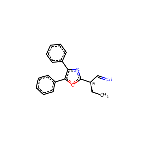 CC[C@H](C=N)c1nc(-c2ccccc2)c(-c2ccccc2)o1